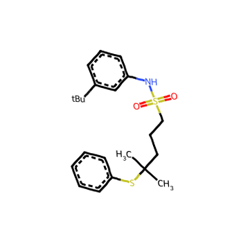 CC(C)(CCCS(=O)(=O)Nc1cccc(C(C)(C)C)c1)Sc1ccccc1